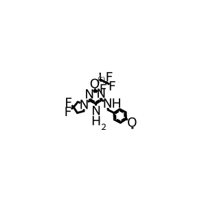 COc1ccc(CNc2nc(O[C@@H](C)C(F)(F)F)nc(N3CCC(F)(F)C3)c2N)cc1